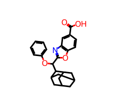 O=C(O)c1ccc2oc(C(Oc3ccccc3)C3C4CC5CC(C4)CC3C5)nc2c1